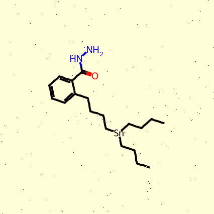 CCC[CH2][Sn]([CH2]CCC)[CH2]CCCc1ccccc1C(=O)NN